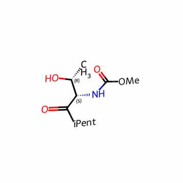 CCCC(C)C(=O)[C@@H](NC(=O)OC)[C@@H](C)O